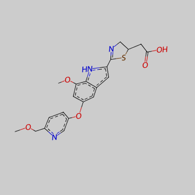 COCc1ccc(Oc2cc(OC)c3[nH]c(C4=NCC(CC(=O)O)S4)cc3c2)cn1